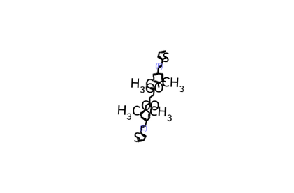 Cc1cc(/C=C/c2cccs2)cc(C)c1OC(=O)CCC(=O)Oc1c(C)cc(/C=C/c2cccs2)cc1C